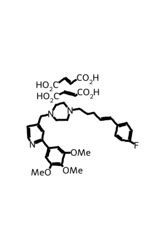 COc1cc(-c2cc(CN3CCN(CCCC=Cc4ccc(F)cc4)CC3)ccn2)cc(OC)c1OC.O=C(O)C=CC(=O)O.O=C(O)C=CC(=O)O